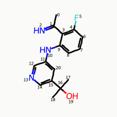 CC(=N)c1c(F)cccc1Nc1cncc(C(C)(C)O)c1